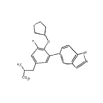 CC(Cc1cc(F)c(OC2CCCC2)c(-c2ccc3[nH]ncc3c2)c1)C(=O)O